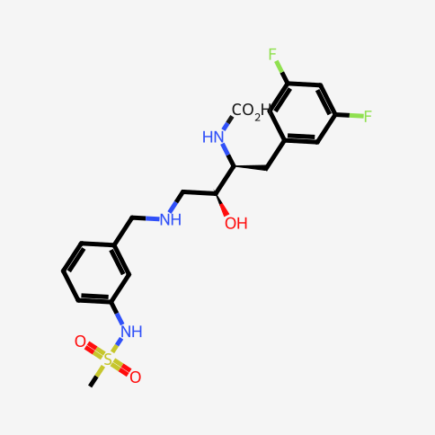 CS(=O)(=O)Nc1cccc(CNC[C@H](O)[C@H](Cc2cc(F)cc(F)c2)NC(=O)O)c1